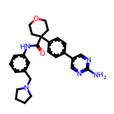 Nc1ncc(-c2ccc(C3(C(=O)Nc4cccc(CN5CCCC5)c4)CCOCC3)cc2)cn1